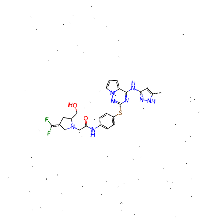 Cc1cc(Nc2nc(Sc3ccc(NC(=O)CN4CC(=C(F)F)CC4CO)cc3)nn3cccc23)n[nH]1